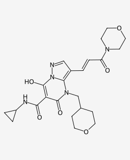 O=C(NC1CC1)c1c(O)n2ncc(/C=C/C(=O)N3CCOCC3)c2n(CC2CCOCC2)c1=O